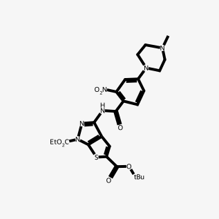 CCOC(=O)n1nc(NC(=O)c2ccc(N3CCN(C)CC3)cc2[N+](=O)[O-])c2cc(C(=O)OC(C)(C)C)sc21